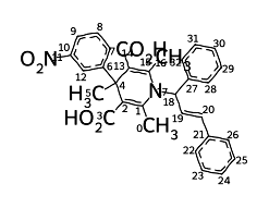 CC1=C(C(=O)O)C(C)(c2cccc([N+](=O)[O-])c2)C(C(=O)O)=C(C)N1C(C=Cc1ccccc1)c1ccccc1